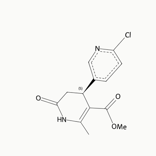 COC(=O)C1=C(C)NC(=O)C[C@H]1c1ccc(Cl)nc1